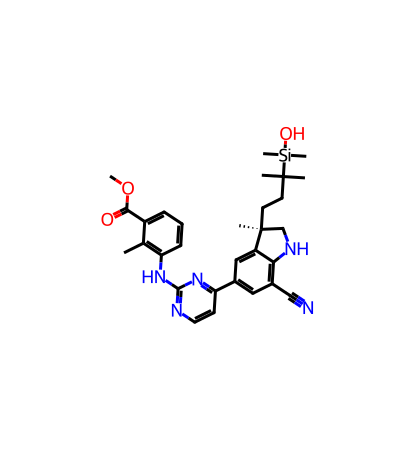 COC(=O)c1cccc(Nc2nccc(-c3cc(C#N)c4c(c3)[C@@](C)(CCC(C)(C)[Si](C)(C)O)CN4)n2)c1C